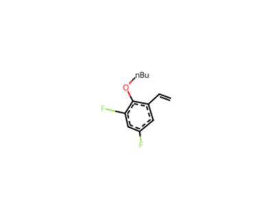 C=Cc1cc(F)cc(F)c1OCCCC